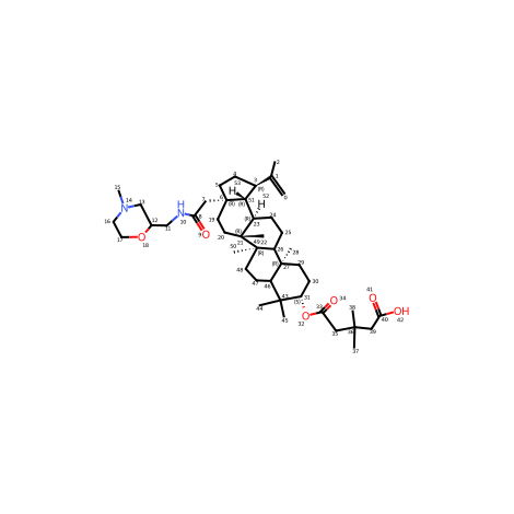 C=C(C)[C@@H]1CC[C@]2(CC(=O)NCC3CN(C)CCO3)CC[C@]3(C)[C@H](CCC4[C@@]5(C)CC[C@H](OC(=O)CC(C)(C)CC(=O)O)C(C)(C)C5CC[C@]43C)[C@@H]12